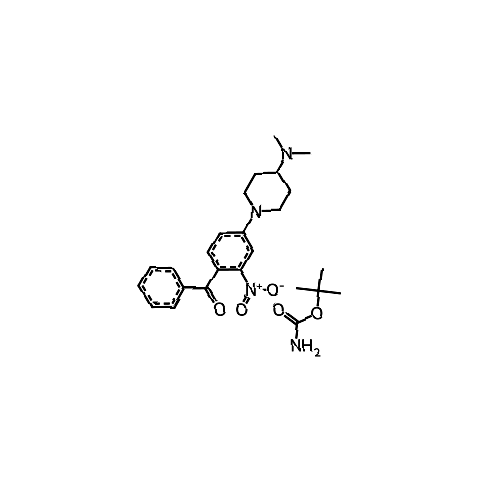 CC(C)(C)OC(N)=O.CN(C)C1CCN(c2ccc(C(=O)c3ccccc3)c([N+](=O)[O-])c2)CC1